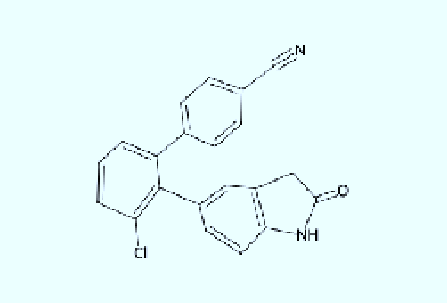 N#Cc1ccc(-c2cccc(Cl)c2-c2ccc3c(c2)CC(=O)N3)cc1